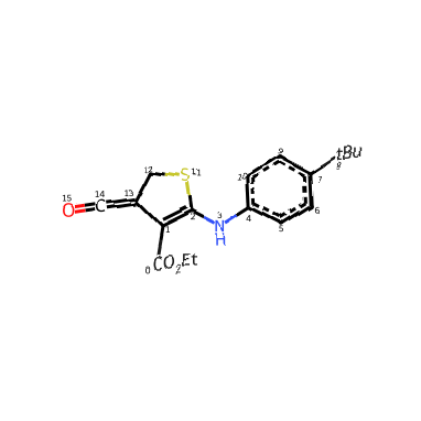 CCOC(=O)C1=C(Nc2ccc(C(C)(C)C)cc2)SCC1=C=O